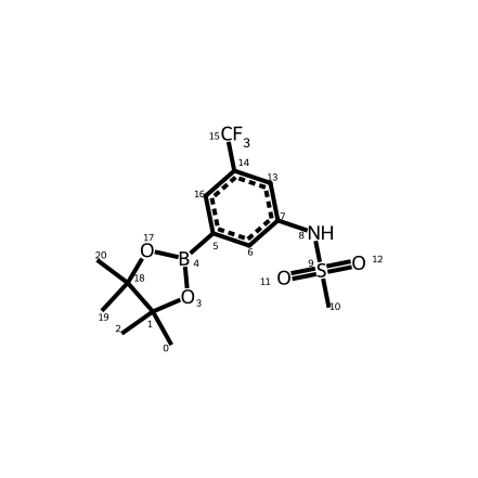 CC1(C)OB(c2cc(NS(C)(=O)=O)cc(C(F)(F)F)c2)OC1(C)C